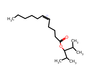 CCCCC/C=C\CCCC(=O)OC(C(C)C)C(C)C